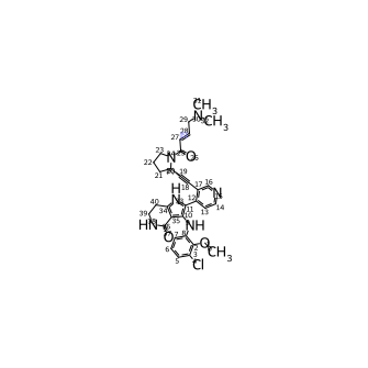 COc1c(Cl)cccc1Nc1c(-c2ccncc2C#C[C@H]2CCCN2C(=O)/C=C/CN(C)C)[nH]c2c1C(=O)NCC2